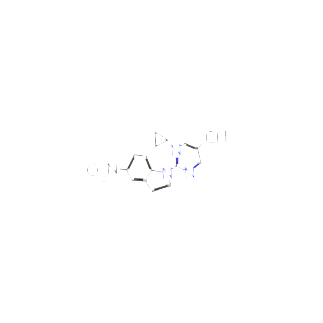 Cc1cnc(-n2ccc3cc([N+](=O)[O-])cc(C4CC4)c32)nc1